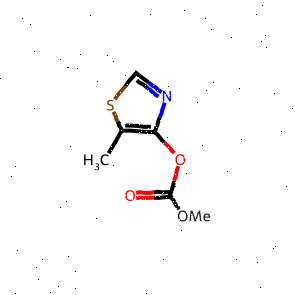 COC(=O)Oc1ncsc1C